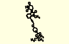 Cn1c(=O)n([C@H]2CCC(=O)NC2=O)c2cccc(C#CCOC3CCN(C(=O)OC(C)(C)C)CC3)c21